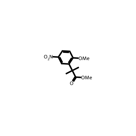 COC(=O)C(C)(C)c1cc([N+](=O)[O-])ccc1OC